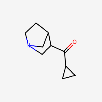 O=C(C1CC1)C1CN2CCC1C2